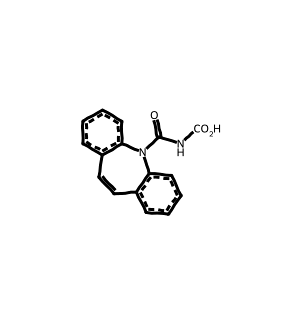 O=C(O)NC(=O)N1c2ccccc2C=Cc2ccccc21